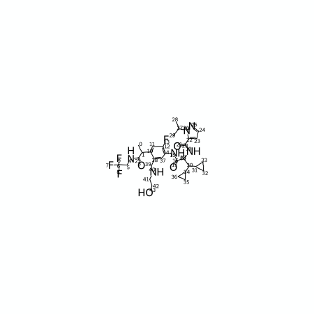 CC(C(=O)NCC(F)(F)F)c1cc(F)c(NC(=O)[C@@H](NC(=O)c2ccnn2C(C)C)C(C2CC2)C2CC2)cc1CNCCO